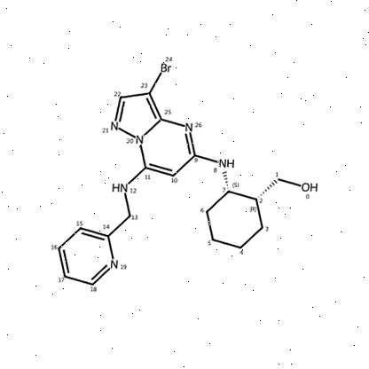 OC[C@@H]1CCCC[C@@H]1Nc1cc(NCc2ccccn2)n2ncc(Br)c2n1